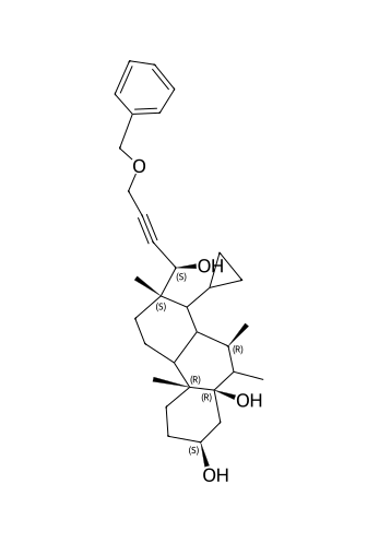 CC1[C@H](C)C2C(C3CC3)[C@@](C)([C@H](O)C#CCOCc3ccccc3)CCC2[C@@]2(C)CC[C@H](O)C[C@@]12O